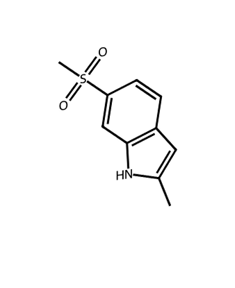 Cc1cc2ccc(S(C)(=O)=O)cc2[nH]1